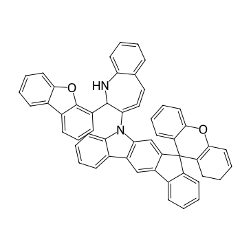 C1=Cc2ccccc2NC(c2cccc3c2oc2ccccc23)C=1n1c2ccccc2c2cc3c(cc21)C1(C2=C(C=CCC2)Oc2ccccc21)c1ccccc1-3